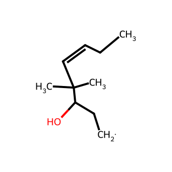 [CH2]CC(O)C(C)(C)/C=C\CC